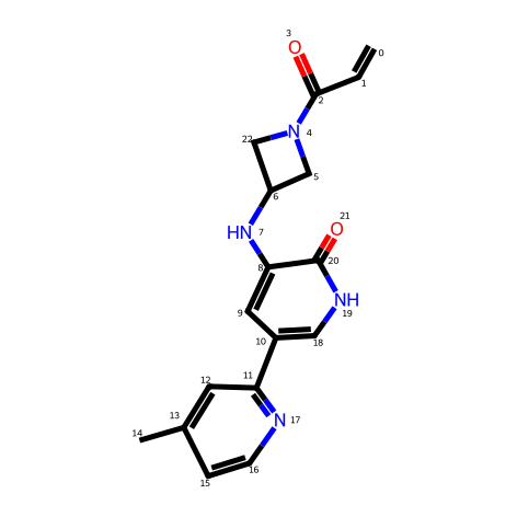 C=CC(=O)N1CC(Nc2cc(-c3cc(C)ccn3)c[nH]c2=O)C1